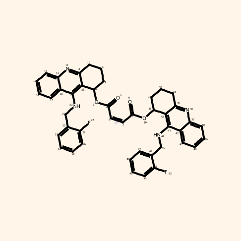 O=C(/C=C\C(=O)OC1CCCc2nc3ccccc3c(NCc3ccccc3F)c21)OC1CCCc2nc3ccccc3c(NCc3ccccc3F)c21